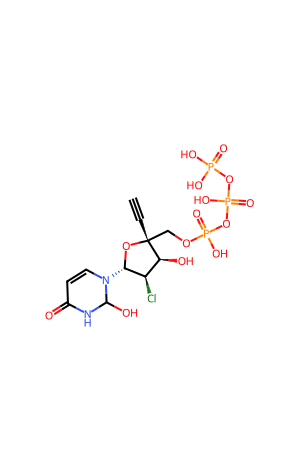 C#C[C@]1(COP(=O)(O)OP(=O)(O)OP(=O)(O)O)O[C@@H](N2C=CC(=O)NC2O)[C@H](Cl)[C@@H]1O